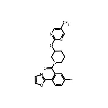 O=C(c1cc(F)ccc1-c1ncco1)N1CCCC(Oc2ncc(C(F)(F)F)cn2)C1